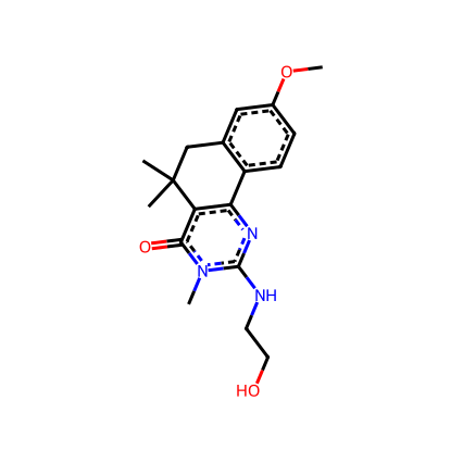 COc1ccc2c(c1)CC(C)(C)c1c-2nc(NCCO)n(C)c1=O